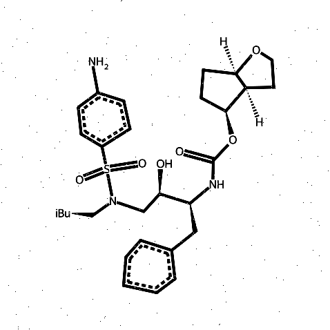 CC[C@H](C)CN(C[C@@H](O)[C@H](Cc1ccccc1)NC(=O)O[C@H]1CC[C@H]2OCC[C@@H]12)S(=O)(=O)c1ccc(N)cc1